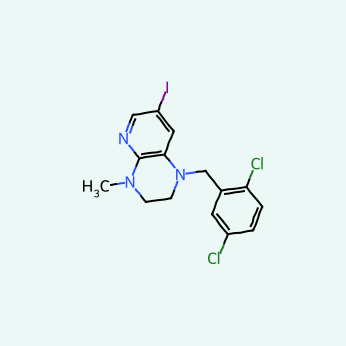 CN1CCN(Cc2cc(Cl)ccc2Cl)c2cc(I)cnc21